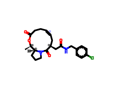 C[C@@H]1OC(=O)CC/C=C\C[C@@H](CC(=O)NCc2ccc(Cl)cc2)C(=O)N2CCC[C@@H]12